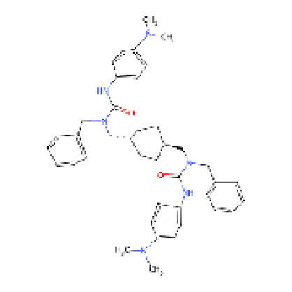 CN(C)c1ccc(NC(=O)N(Cc2ccccc2)C[C@H]2CC[C@H](CN(Cc3ccccc3)C(=O)Nc3ccc(N(C)C)cc3)CC2)cc1